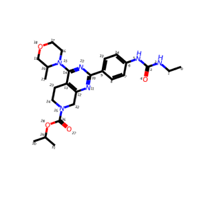 CCNC(=O)Nc1ccc(-c2nc3c(c(N4CCOCC4C)n2)CCN(C(=O)OC(C)C)C3)cc1